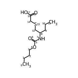 CCCCOC(=O)NC(CCC)CSCC(=O)O